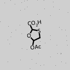 CC(=O)OC1CSC(C(=O)O)O1